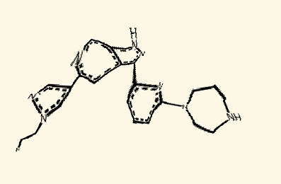 FCCn1cc(-c2cc3c(-c4cccc(N5CCCNCC5)n4)n[nH]c3cn2)cn1